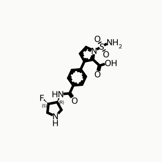 NS(=O)(=O)n1ccc(-c2ccc(C(=O)N[C@@H]3CNC[C@@H]3F)cc2)c1C(=O)O